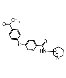 CC(=O)c1ccc(Oc2ccc(C(=O)NC3CC4CCN(CC4)C3)cc2)cc1